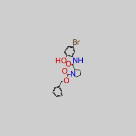 O=C(Nc1cc(Br)ccc1O)C1CCCN1C(=O)OCc1ccccc1